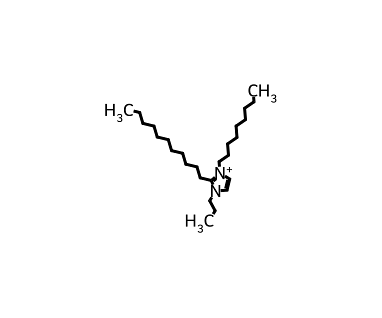 CCCCCCCCCCCc1n(CCC)cc[n+]1CCCCCCCCC